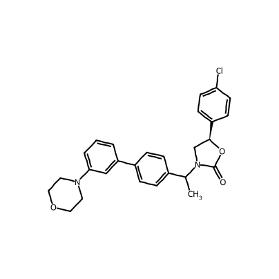 CC(c1ccc(-c2cccc(N3CCOCC3)c2)cc1)N1C[C@@H](c2ccc(Cl)cc2)OC1=O